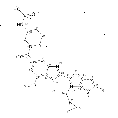 COc1cc(C(=O)N2CCC[C@@H](NC(=O)O)C2)cc2nc(-c3cc4cc(C)sc4n3CC3CC3)n(C)c12